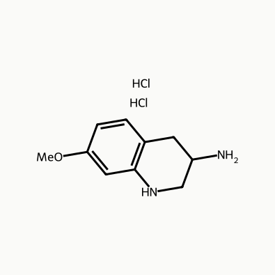 COc1ccc2c(c1)NCC(N)C2.Cl.Cl